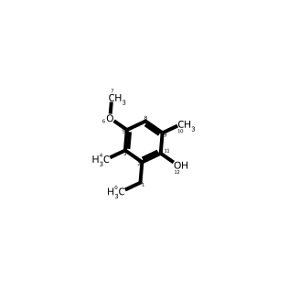 CCc1c(C)c(OC)cc(C)c1O